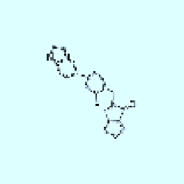 O=C1c2ccsc2CN1Cc1ccc(-c2ccc3nccn3c2)cc1F